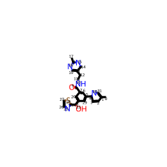 Cc1ccc(-c2cc(C(=O)NCCc3cnc(C)nc3)cc(C(O)c3nccs3)c2)nc1